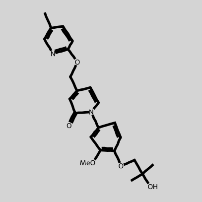 COc1cc(-n2ccc(COc3ccc(C)cn3)cc2=O)ccc1OCC(C)(C)O